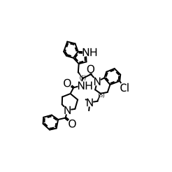 CN(C)C[C@@H]1Cc2c(Cl)cccc2N(C(=O)[C@H](Cc2c[nH]c3ccccc23)NC(=O)C2CCN(C(=O)c3ccccc3)CC2)C1